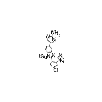 CC(C)(C)n1c(-c2ccc(Cl)cc2-n2cncn2)nc2cc(-c3cnc(N)nc3)ccc21